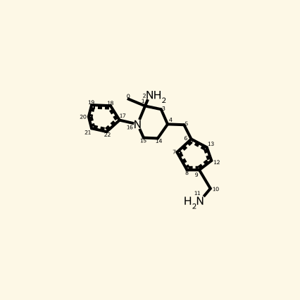 CC1(N)CC(Cc2ccc(CN)cc2)CCN1c1ccccc1